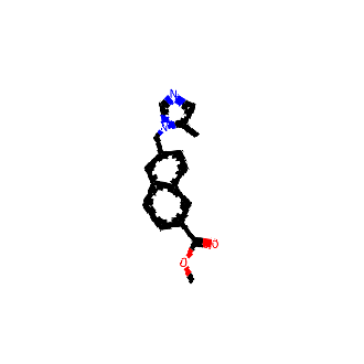 COC(=O)c1ccc2cc(Cn3cncc3C)ccc2c1